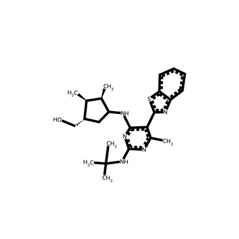 Cc1nc(NC(C)(C)C)nc(NC2C[C@H](CO)[C@@H](C)[C@H]2C)c1-c1nc2ccccc2s1